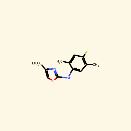 CCOC(=O)c1coc(Nc2cc(C)c(F)cc2C)n1